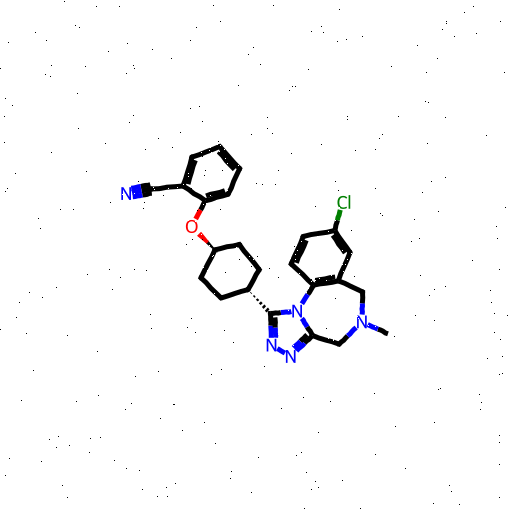 CN1Cc2cc(Cl)ccc2-n2c(nnc2[C@H]2CC[C@H](Oc3ccccc3C#N)CC2)C1